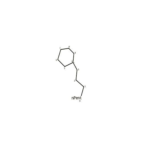 [CH2]CCCCCCC[C]1CCCCC1